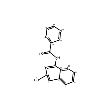 O=C(Nc1cc(O)cc2cccnc12)c1cnccn1